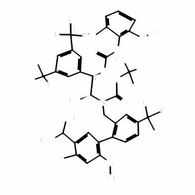 COc1cc(F)c(C(C)C)cc1-c1ccc(C(F)(F)F)cc1CN(C(=O)OC(C)(C)C)[C@@H](C)[C@H](OC(=O)Oc1c(OC)cccc1OC)c1cc(C(F)(F)F)cc(C(F)(F)F)c1